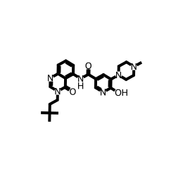 CN1CCN(c2cc(C(=O)Nc3cccc4ncn(CCC(C)(C)C)c(=O)c34)cnc2O)CC1